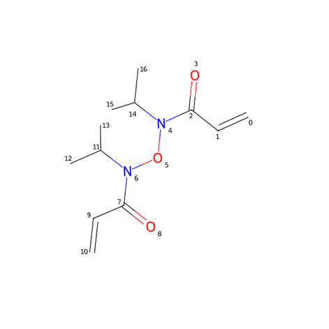 C=CC(=O)N(ON(C(=O)C=C)C(C)C)C(C)C